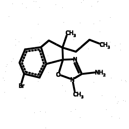 CCCC1(C)Cc2ccc(Br)cc2C12N=C(N)N(C)O2